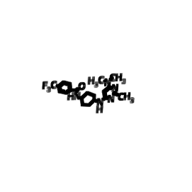 Cc1nc(NC2CCC(NC(=O)c3ccc(C(F)(F)F)cc3)CC2)cc(N(C)C)n1